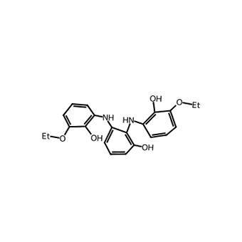 CCOc1cccc(Nc2cccc(O)c2Nc2cccc(OCC)c2O)c1O